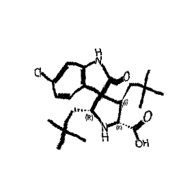 CC(C)(C)C[C@H]1N[C@@H](C(=O)O)[C@H](CC(C)(C)C)C12C(=O)Nc1cc(Cl)ccc12